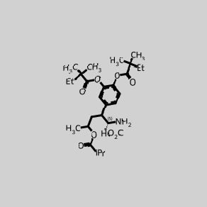 CCC(C)(C)C(=O)Oc1ccc(C(CC(C)OC(=O)C(C)C)[C@H](N)C(=O)O)cc1OC(=O)C(C)(C)CC